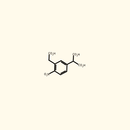 O=C(O)Cc1cc(C(C(=O)O)C(=O)O)ccc1[N+](=O)[O-]